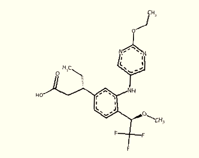 CCOc1ncc(Nc2cc([C@@H](CC)CC(=O)O)ccc2[C@@H](OC)C(F)(F)F)cn1